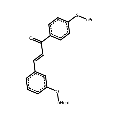 CCCCCCCOc1cccc(C=CC(=O)c2ccc(SCCC)cc2)c1